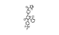 Cn1nccc1C(=O)N1CCN(c2cc(=O)n(-c3ccc(C(F)(F)F)cc3)c(-c3ccccc3Cl)n2)CC1